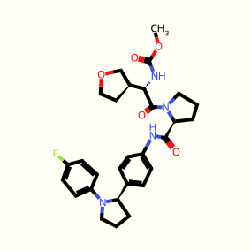 COC(=O)N[C@H](C(=O)N1CCC[C@H]1C(=O)Nc1ccc([C@H]2CCCN2c2ccc(F)cc2)cc1)[C@H]1CCOC1